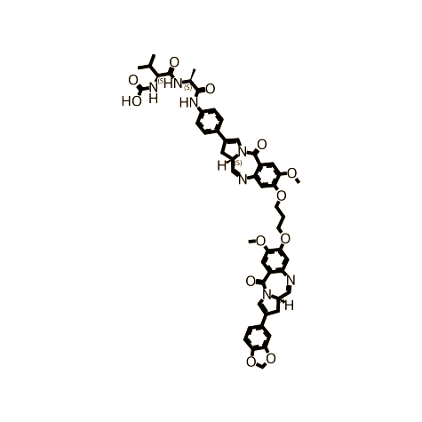 COc1cc2c(cc1OCCCOc1cc3c(cc1OC)C(=O)N1C=C(c4ccc5c(c4)OCO5)C[C@H]1C=N3)N=C[C@@H]1CC(c3ccc(NC(=O)[C@H](C)NC(=O)[C@@H](NC(=O)O)C(C)C)cc3)=CN1C2=O